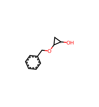 O[C]1CC1OCc1ccccc1